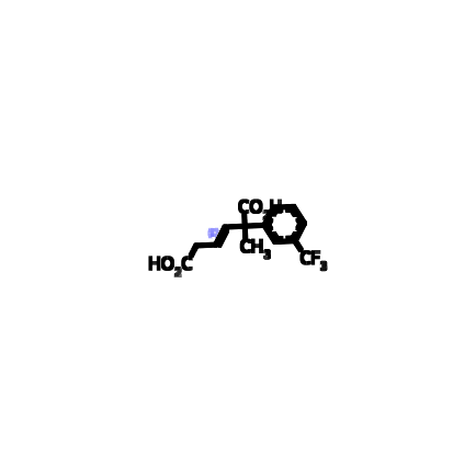 CC(/C=C/CC(=O)O)(C(=O)O)c1cccc(C(F)(F)F)c1